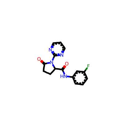 O=C(Nc1cccc(F)c1)C1CCC(=O)N1c1ncccn1